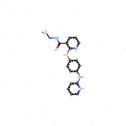 CCNC(=O)c1cccnc1Oc1ccc(Nc2ccccn2)cc1